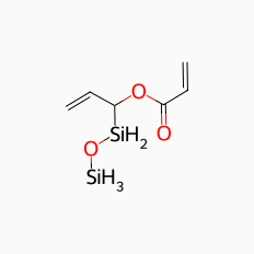 C=CC(=O)OC(C=C)[SiH2]O[SiH3]